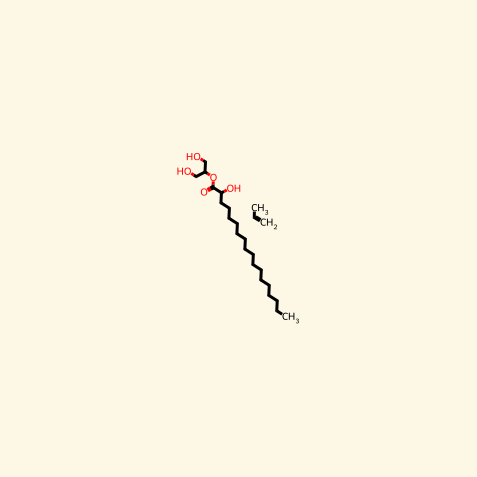 C=CC.CCCCCCCCCCCCCCCCC(O)C(=O)OC(CO)CO